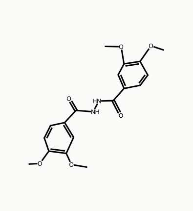 COc1ccc(C(=O)NNC(=O)c2ccc(OC)c(OC)c2)cc1OC